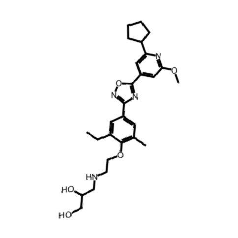 CCc1cc(-c2noc(-c3cc(OC)nc(C4CCCC4)c3)n2)cc(C)c1OCCNCC(O)CO